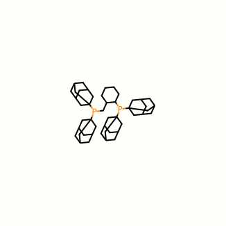 C1CCC(P(C23CC4CC(CC(C4)C2)C3)C23CC4CC(CC(C4)C2)C3)C(CP(C23CC4CC(CC(C4)C2)C3)C23CC4CC(CC(C4)C2)C3)C1